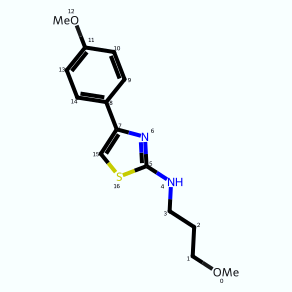 COCCCNc1nc(-c2ccc(OC)cc2)cs1